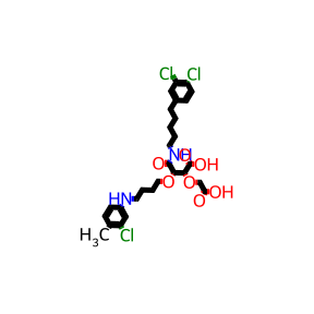 Cc1ccc(NCCCCOC(C(=O)NCCCCCc2ccc(Cl)c(Cl)c2)C(OCC(=O)O)C(=O)O)cc1Cl